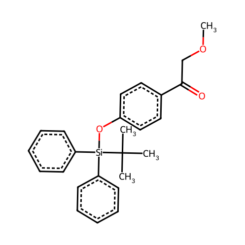 COCC(=O)c1ccc(O[Si](c2ccccc2)(c2ccccc2)C(C)(C)C)cc1